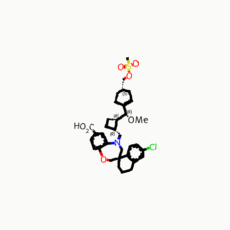 CO[C@@H](C1=CC[C@@H](COS(C)(=O)=O)CC1)[C@@H]1CC[C@H]1CN1CC2(CCCc3cc(Cl)ccc32)COc2ccc(C(=O)O)cc21